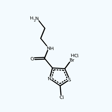 Cl.NCCNC(=O)c1nc(Cl)sc1Br